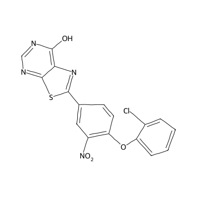 O=[N+]([O-])c1cc(-c2nc3c(O)ncnc3s2)ccc1Oc1ccccc1Cl